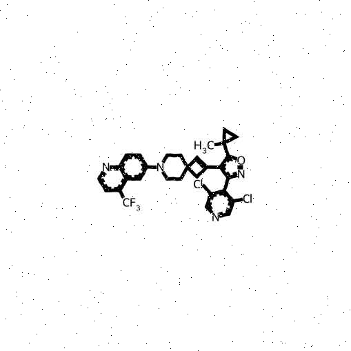 CC1(c2onc(-c3c(Cl)cncc3Cl)c2C2=CC3(CCN(c4ccc5nccc(C(F)(F)F)c5c4)CC3)C2)CC1